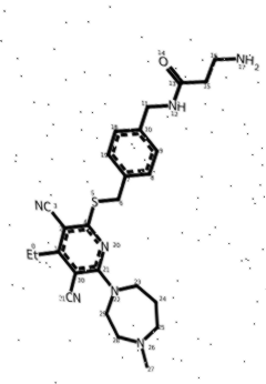 CCc1c(C#N)c(SCc2ccc(CNC(=O)CCN)cc2)nc(N2CCCN(C)CC2)c1C#N